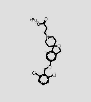 CC(C)(C)OC(=O)CCN1CCC2(CC1)OCc1cc(OCc3c(Cl)cccc3Cl)ccc12